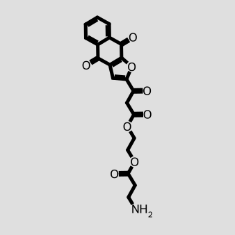 NCCC(=O)OCCOC(=O)CC(=O)c1cc2c(o1)C(=O)c1ccccc1C2=O